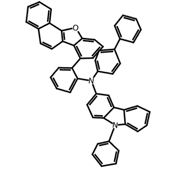 c1ccc(-c2ccc(N(c3ccc4c(c3)c3ccccc3n4-c3ccccc3)c3ccccc3-c3cccc4oc5c6ccccc6ccc5c34)cc2)cc1